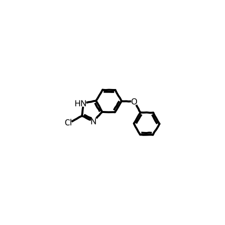 Clc1nc2cc(Oc3ccccc3)ccc2[nH]1